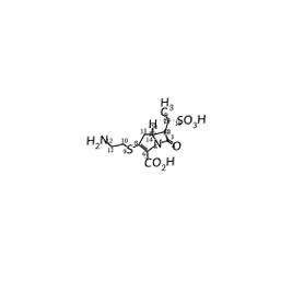 C[C@@H]([C@H]1C(=O)N2C(C(=O)O)=C(SCCN)C[C@H]12)S(=O)(=O)O